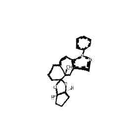 C[C@]12Cc3cnn(-c4ccccc4)c3C=C1CCCC21O[C@H]2CCC[C@H]2O1